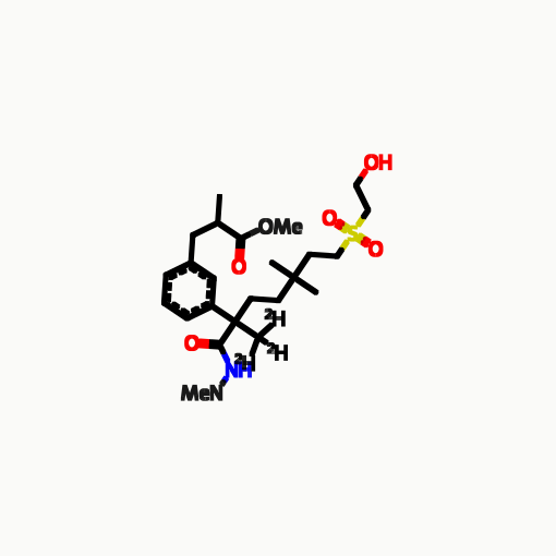 [2H]C([2H])([2H])C(CCC(C)(C)CCS(=O)(=O)CCO)(C(=O)NNC)c1cccc(CC(C)C(=O)OC)c1